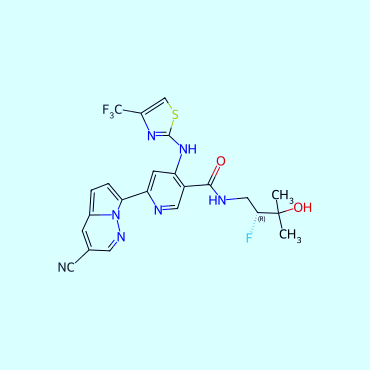 CC(C)(O)[C@H](F)CNC(=O)c1cnc(-c2ccc3cc(C#N)cnn23)cc1Nc1nc(C(F)(F)F)cs1